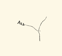 C[C](C)[Au]